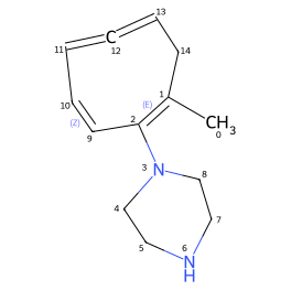 C/C1=C(N2CCNCC2)/C=C\C=C=CC1